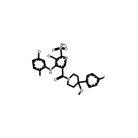 COC1(c2ccc(F)cc2)CCN(C(=O)c2cnc(S(N)(=O)=O)c(Cl)c2Nc2cc(Cl)ccc2C)CC1